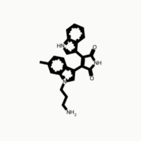 Cc1ccc2c(C3=C(c4c[nH]c5ccccc45)C(=O)NC3=O)cn(CCCN)c2c1